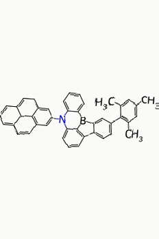 Cc1cc(C)c(-c2ccc3c(c2)B2c4ccccc4N(c4cc5c6c(c4)CC=C4C=CC=C(C=C5)C46)c4cccc-3c42)c(C)c1